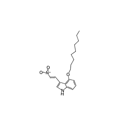 CCCCCCCCCOc1cccc2[nH]cc(/C=C/[N+](=O)[O-])c12